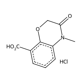 CN1C(=O)COc2c(C(=O)O)cccc21.Cl